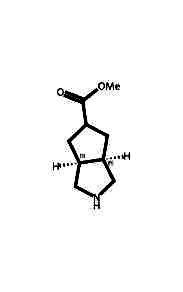 COC(=O)C1C[C@H]2CNC[C@H]2C1